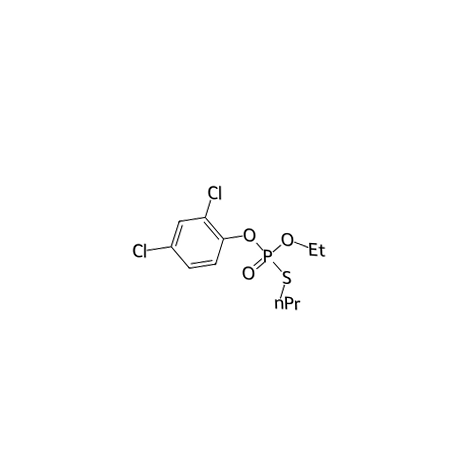 CCCSP(=O)(OCC)Oc1ccc(Cl)cc1Cl